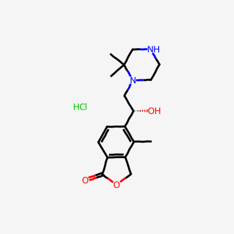 Cc1c([C@@H](O)CN2CCNCC2(C)C)ccc2c1COC2=O.Cl